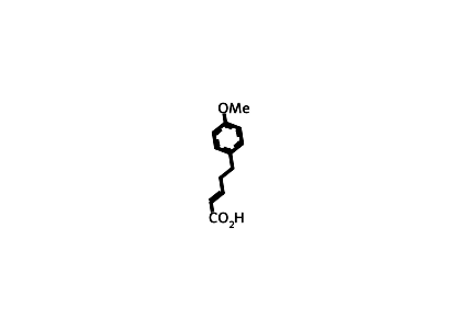 COc1ccc(CCC=CC(=O)O)cc1